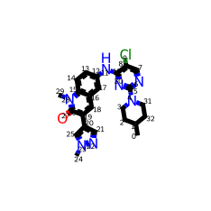 CC1CCN(c2ncc(Cl)c(Nc3ccc4c(c3)cc(-c3cnn(C)c3)c(=O)n4C)n2)CC1